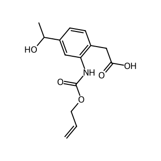 C=CCOC(=O)Nc1cc(C(C)O)ccc1CC(=O)O